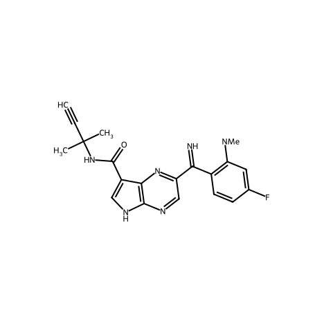 C#CC(C)(C)NC(=O)c1c[nH]c2ncc(C(=N)c3ccc(F)cc3NC)nc12